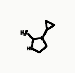 CC1NCCN1C1CC1